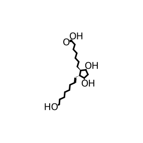 O=C(O)CCCCCC[C@@H]1[C@@H](C=CCCCCCCO)[C@H](O)C[C@@H]1O